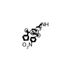 N=C[C@@H](F)C[C@@H](COC(=O)c1ccccc1)OS(=O)(=O)c1ccc([N+](=O)[O-])cc1